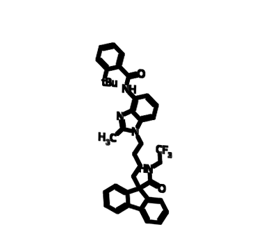 Cc1nc2c(NC(=O)c3ccccc3C(C)(C)C)cccc2n1CCCCC1(C(=O)NCC(F)(F)F)c2ccccc2-c2ccccc21